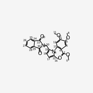 COC(=O)c1cc(OC)c(OC)cc1-n1c(C)ccc1CN1C(=O)c2ccccc2C1=O